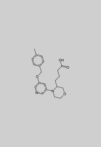 Cc1ccc(COc2cncc(N3CCOCC3CCCC(=O)O)c2)cc1